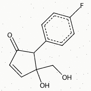 O=C1C=CC(O)(CO)C1c1ccc(F)cc1